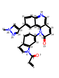 C=CC(=O)n1ccc2ccc(-n3c(=O)ccc4cnc5ccc(-c6cnn(C)c6)cc5c43)cc21